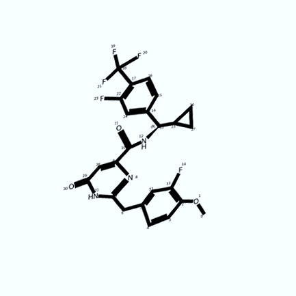 COc1ccc(Cc2nc(C(=O)N[C@@H](c3ccc(C(F)(F)F)c(F)c3)C3CC3)cc(=O)[nH]2)cc1F